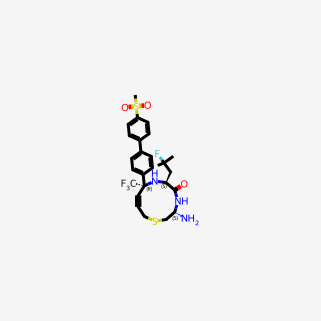 CC(C)(F)C[C@@H]1N[C@@](c2ccc(-c3ccc(S(C)(=O)=O)cc3)cc2)(C(F)(F)F)C#CCSC[C@@H](N)NC1=O